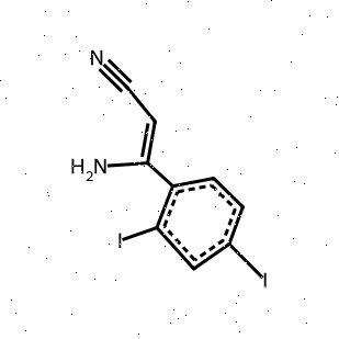 N#CC=C(N)c1ccc(I)cc1I